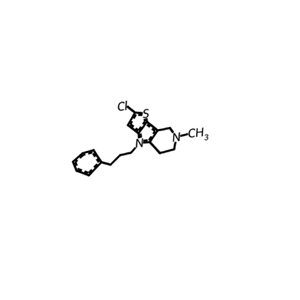 CN1CCc2c(c3sc(Cl)cc3n2CCCc2ccccc2)C1